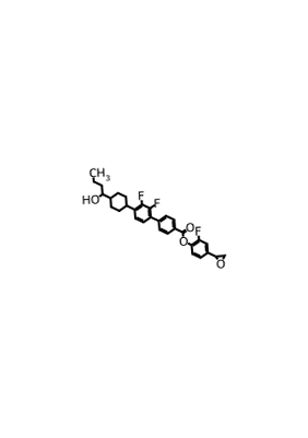 CCCC(O)C1CCC(c2ccc(-c3ccc(C(=O)Oc4ccc(C5CO5)cc4F)cc3)c(F)c2F)CC1